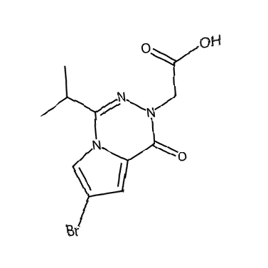 CC(C)c1nn(CC(=O)O)c(=O)c2cc(Br)cn12